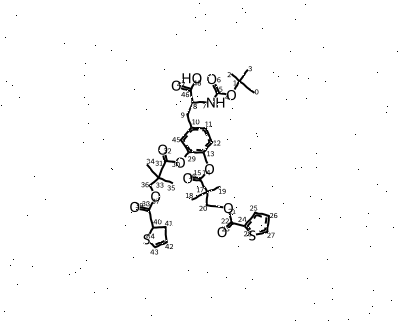 CC(C)(C)OC(=O)N[C@@H](Cc1ccc(OC(=O)C(C)(C)COC(=O)c2cccs2)c(OC(=O)C(C)(C)COC(=O)C2CC=CS2)c1)C(=O)O